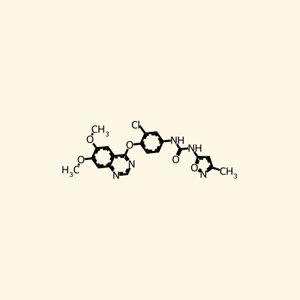 COc1cc2ncnc(Oc3ccc(NC(=O)Nc4cc(C)no4)cc3Cl)c2cc1OC